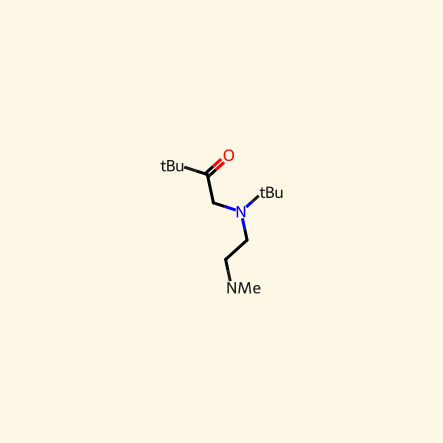 CNCCN(CC(=O)C(C)(C)C)C(C)(C)C